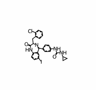 O=C(Nc1ccc(C2=NC(Cc3ccccc3Cl)C(=O)Nc3ccc(I)cc32)cc1)NC1CC1